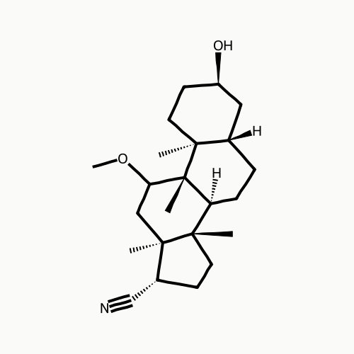 COC1C[C@]2(C)[C@@H](C#N)CC[C@@]2(C)[C@@H]2CC[C@H]3C[C@H](O)CC[C@]3(C)[C@@]12C